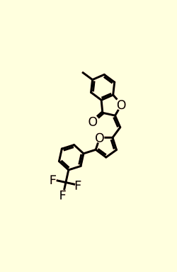 Cc1ccc2c(c1)C(=O)C(=Cc1ccc(-c3cccc(C(F)(F)F)c3)o1)O2